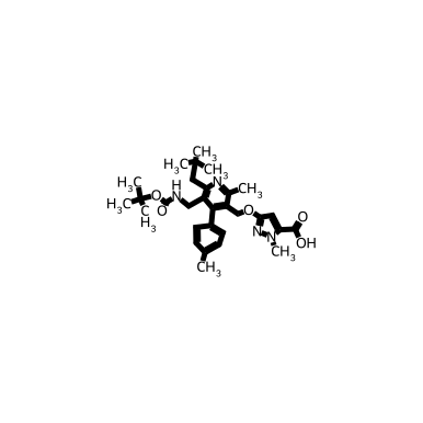 Cc1ccc(-c2c(COc3cc(C(=O)O)n(C)n3)c(C)nc(CC(C)(C)C)c2CNC(=O)OC(C)(C)C)cc1